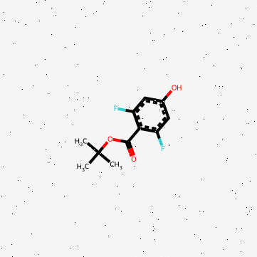 CC(C)(C)OC(=O)c1c(F)cc(O)cc1F